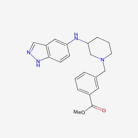 COC(=O)c1cccc(CN2CCCC(Nc3ccc4[nH]ncc4c3)C2)c1